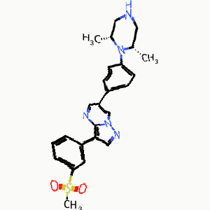 C[C@@H]1CNC[C@H](C)N1c1ccc(-c2cnc3c(-c4cccc(S(C)(=O)=O)c4)cnn3c2)cc1